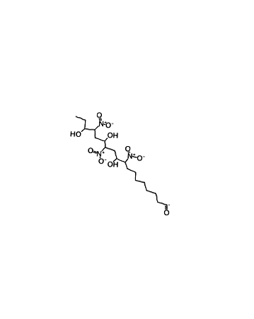 CCC(O)C(CC(O)C(CC(O)C(CCCCCCC[C]=O)[N+](=O)[O-])[N+](=O)[O-])[N+](=O)[O-]